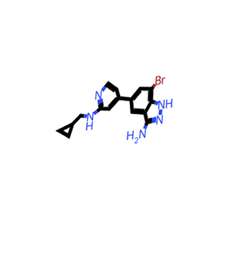 Nc1n[nH]c2c(Br)cc(-c3ccnc(NCC4CC4)c3)cc12